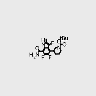 Cc1[nH]c2c(C(N)=O)c(F)c(F)c(C3CCCN(C(=O)OC(C)(C)C)C3)c2c1F